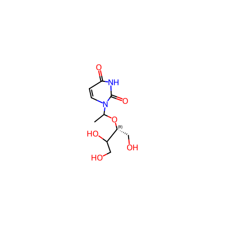 CC(O[C@H](CO)C(O)CO)n1ccc(=O)[nH]c1=O